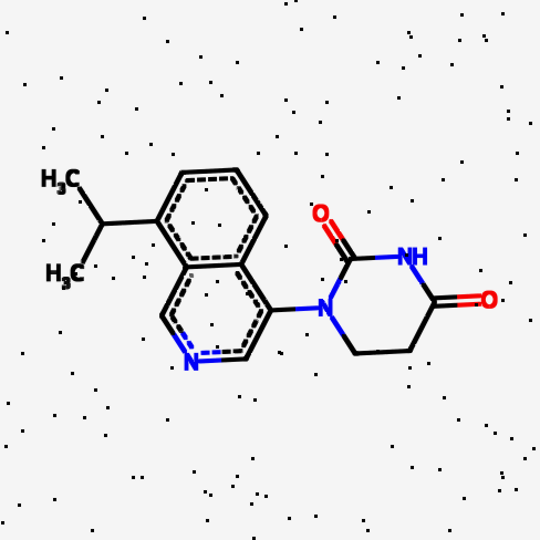 CC(C)c1cccc2c(N3CCC(=O)NC3=O)cncc12